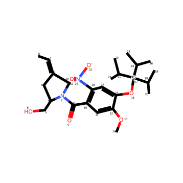 CC=C1CC(CO)N(C(=O)c2cc(OC)c(O[Si](C(C)C)(C(C)C)C(C)C)cc2[N+](=O)[O-])C1